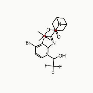 CC(C)(C)OC(=O)N1C2CC1CN(c1nc3c(C(O)C(F)(F)F)ccc(Br)c3o1)C2